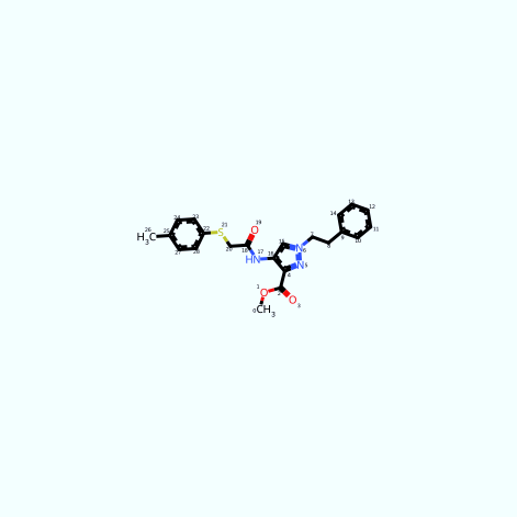 COC(=O)c1nn(CCc2ccccc2)cc1NC(=O)CSc1ccc(C)cc1